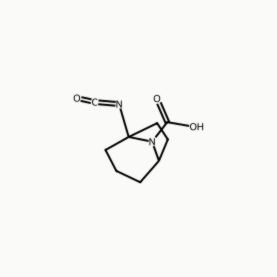 O=C=NC12CCCC(CC1)N2C(=O)O